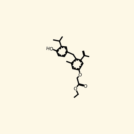 C=C(C)c1cc(OCC(=O)OCC)cc(C)c1Cc1ccc(O)c(C(C)C)c1